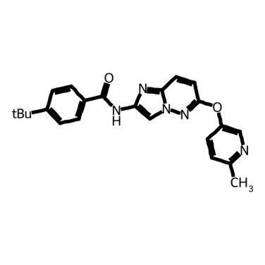 Cc1ccc(Oc2ccc3nc(NC(=O)c4ccc(C(C)(C)C)cc4)cn3n2)cn1